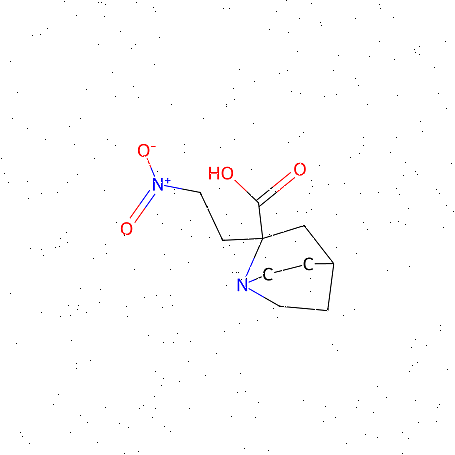 O=C(O)C1(CC[N+](=O)[O-])CC2CCN1CC2